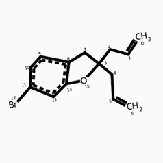 C=CCC1(CC=C)Cc2ccc(Br)cc2O1